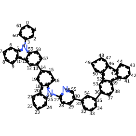 c1ccc(-n2c3ccccc3c3cc(-c4ccc5c(c4)c4ccccc4n5-c4ccc(-c5cccc(-c6ccc7c8ccccc8c8ccccc8c7c6)c5)cn4)ccc32)cc1